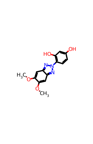 COc1cc2nn(-c3ccc(O)cc3O)nc2cc1OC